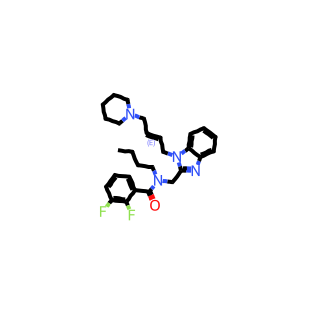 CCCCN(Cc1nc2ccccc2n1C/C=C/CN1CCCCC1)C(=O)c1cccc(F)c1F